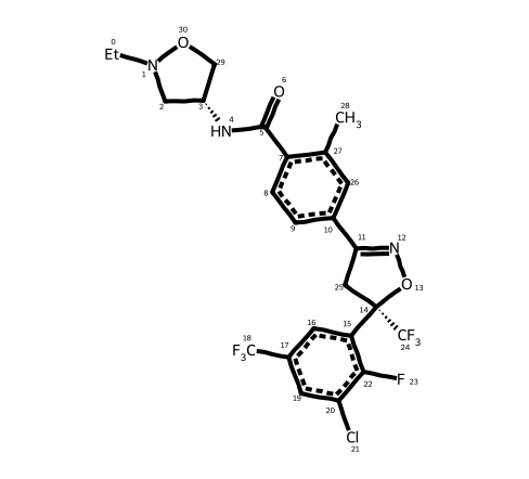 CCN1C[C@@H](NC(=O)c2ccc(C3=NO[C@](c4cc(C(F)(F)F)cc(Cl)c4F)(C(F)(F)F)C3)cc2C)CO1